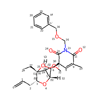 C=CC[C@H]1O[C@H]2[C@H](C3C=C(C)C(=O)N(COCc4ccccc4)C3=O)O[C@]1(CC)[C@H]2OC